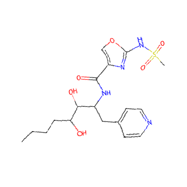 CCCCC(O)C(O)C(Cc1ccncc1)NC(=O)c1coc(NS(C)(=O)=O)n1